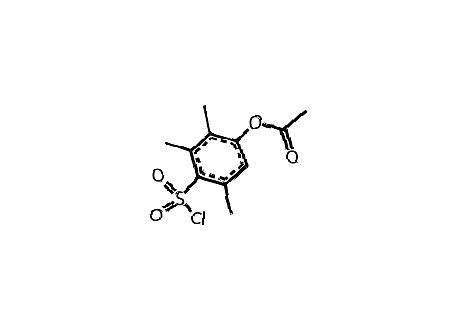 CC(=O)Oc1cc(C)c(S(=O)(=O)Cl)c(C)c1C